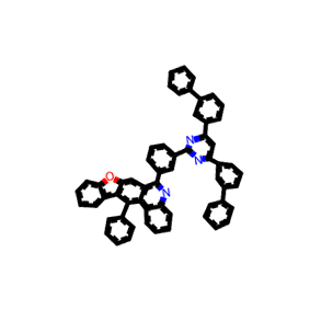 c1ccc(-c2cccc(-c3cc(-c4cccc(-c5ccccc5)c4)nc(-c4cccc(-c5nc6ccccc6c6c(-c7ccccc7)c7c(cc56)oc5ccccc57)c4)n3)c2)cc1